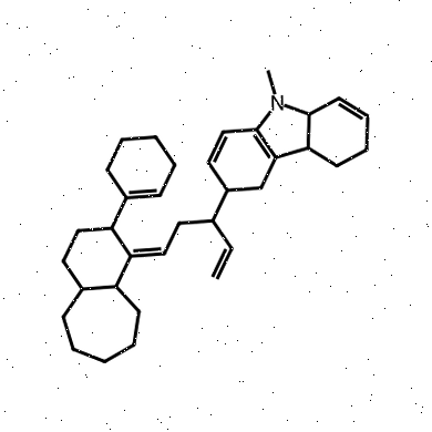 C=CC(C/C=C1\C(C2=CCCCC2)CCC2CCCCCC12)C1C=CC2=C(C1)C1CCC=CC1N2C